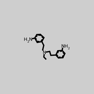 CCN(CCc1cccc(N)c1)CCc1cccc(N)c1